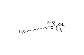 C=C(C)C(=O)OC(Br)CCCCCCCCCC